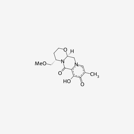 COC[C@@H]1CCO[C@H]2Cn3cc(C)c(=O)c(O)c3C(=O)N12